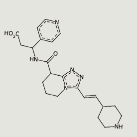 O=C(O)CC(NC(=O)C1CCCn2c(C=CC3CCNCC3)nnc21)c1ccncc1